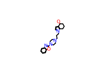 O=C1CCCc2c1ccn2CCCN1CCN(c2nc3ccccc3o2)CC1